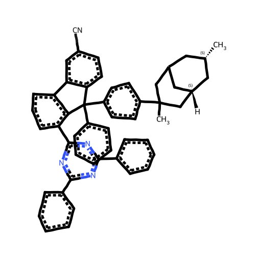 C[C@H]1CC2C[C@H](C1)CC(C)(c1ccc(C3(c4ccccc4)c4ccc(C#N)cc4-c4cccc(-c5nc(-c6ccccc6)nc(-c6ccccc6)n5)c43)cc1)C2